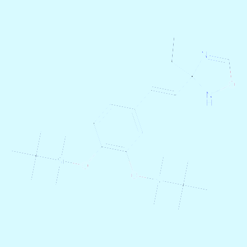 CCC1(/C=C/c2ccc(O[Si](C)(C)C(C)(C)C)c(O[Si](C)(C)C(C)(C)C)c2)N=CON1